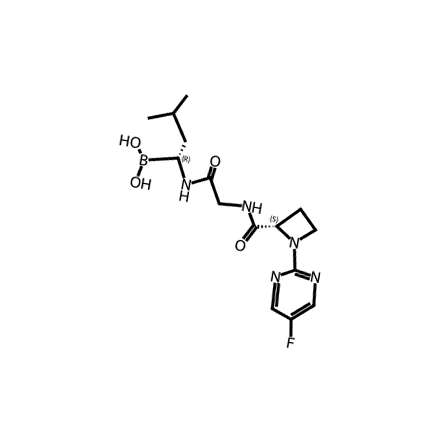 CC(C)C[C@H](NC(=O)CNC(=O)[C@@H]1CCN1c1ncc(F)cn1)B(O)O